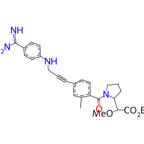 CCOC(=O)C(OC)C1CCCN1C(=O)c1ccc(C#CCNc2ccc(C(=N)N)cc2)cc1C